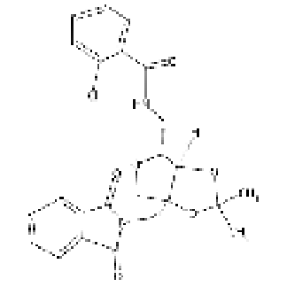 CC1(C)O[C@@H]2[C@@H](CNC(=O)c3ccccc3Cl)OC[C@]2(CN2C(=O)c3ccccc3C2=O)O1